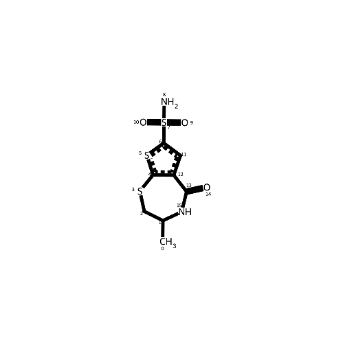 CC1CSc2sc(S(N)(=O)=O)cc2C(=O)N1